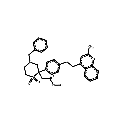 Cc1cc(COc2ccc(C3(CC(=O)NO)CN(Cc4cccnc4)CCS3(=O)=O)cc2)c2ccccc2n1